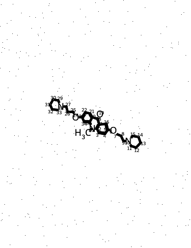 Cn1c2ccc(OCCCN3CCCCC3)cc2c(=O)c2ccc(OCCCN3CCCCC3)cc21